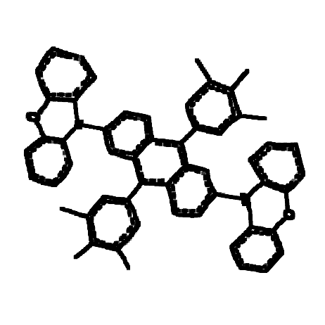 Cc1cc(-c2c3ccc(N4c5ccccc5Oc5ccccc54)cc3c(-c3cc(C)c(C)c(C)c3)c3ccc(N4c5ccccc5Oc5ccccc54)cc23)cc(C)c1C